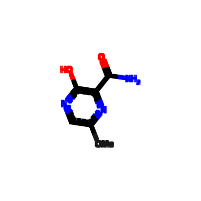 COc1cnc(O)c(C(N)=O)n1